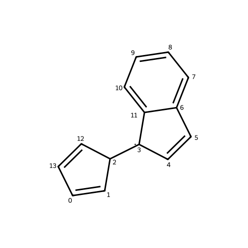 C1=CC([C]2C=Cc3ccccc32)C=C1